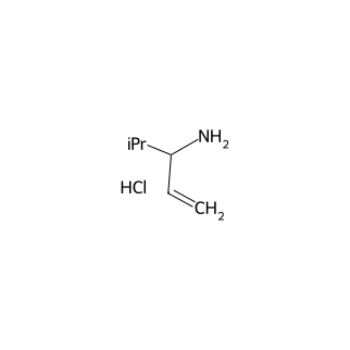 C=CC(N)C(C)C.Cl